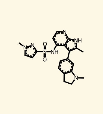 Cc1[nH]c2nccc(NS(=O)(=O)c3ccn(C)n3)c2c1-c1ccc2c(c1)N(C)CC2